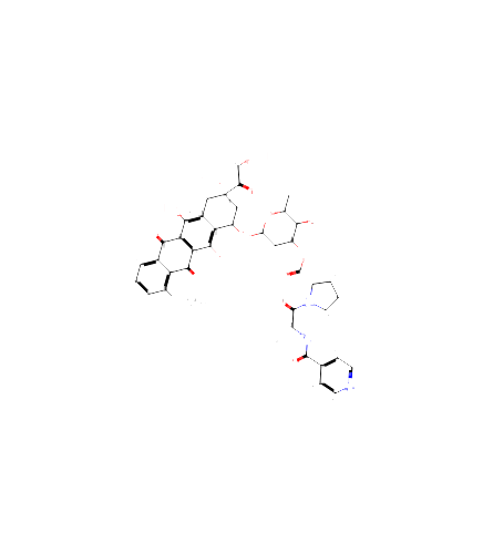 COc1cccc2c1C(=O)c1c(O)c3c(c(O)c1C2=O)C[C@@](O)(C(=O)CO)CC3OC1CC(OC(=O)[C@@H]2CCCN2C(=O)[C@@H](C)NC(=O)c2ccncc2)C(O)C(C)O1